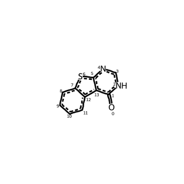 O=c1[nH]cnc2sc3ccccc3c12